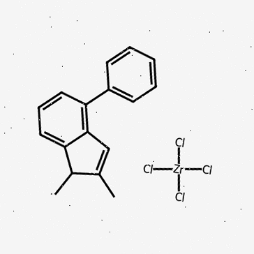 [CH2]C1C(C)=Cc2c(-c3ccccc3)cccc21.[Cl][Zr]([Cl])([Cl])[Cl]